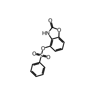 O=c1[nH]c2c(OS(=O)(=O)c3ccccc3)cccc2o1